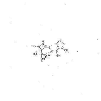 Cn1nnnc1C(S)C(=O)SC1NC(=O)C1C(C)(C)O